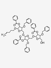 C=CCCCOC1OC(COC2OC(COC3OC(CO)C(OCc4ccccc4)C3OC(=O)c3ccccc3)C(OCc3ccccc3)C2OC(=O)c2ccccc2)C(OCc2ccccc2)C1OC(=O)c1ccccc1